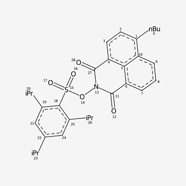 CCCCc1ccc2c3c(cccc13)C(=O)N(OS(=O)(=O)c1c(C(C)C)cc(C(C)C)cc1C(C)C)C2=O